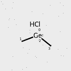 Cl.[CH3][Ge][CH3]